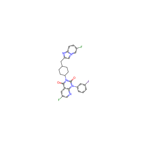 O=c1c2cc(F)cnc2n(-c2cccc(I)c2)c(=O)n1C1CC[C](Cc2cn3cc(F)ccc3n2)CC1